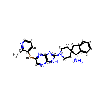 N[C@H]1c2ccccc2CC12CCN(c1nc3nc(Sc4cccnc4C(F)(F)F)cnc3[nH]1)CC2